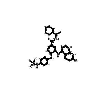 CC(C)c1ccc2c(Nc3cc(C(=O)NC(C)C4CCCCC4)ccc3Sc3ccc(NS(C)(=O)=O)cc3)ncnc2n1